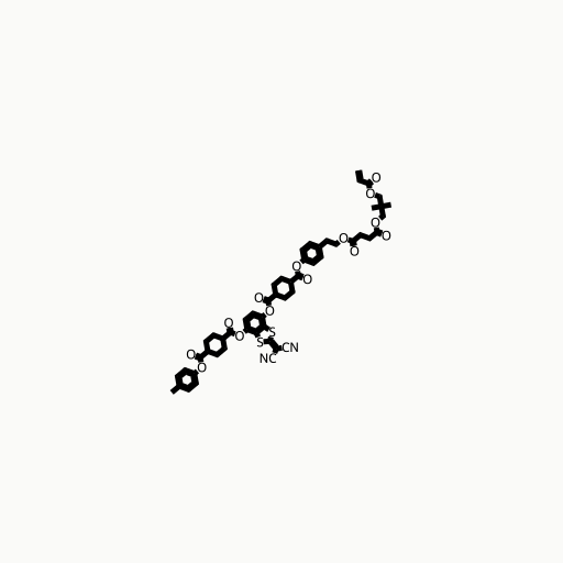 C=CC(=O)OCC(C)(C)COC(=O)CCC(=O)OCCc1ccc(OC(=O)C2CCC(C(=O)Oc3ccc(OC(=O)C4CCC(C(=O)Oc5ccc(C)cc5)CC4)c4c3SC(=C(C#N)C#N)S4)CC2)cc1